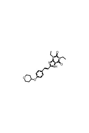 CCn1c(=O)c2[nH]c(/C=C/c3ccc(OC4CCOCC4)cc3)nc2n(CC)c1=O